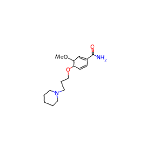 COc1cc(C(N)=O)ccc1OCCCN1CCCCC1